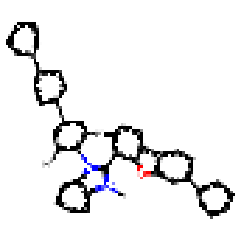 Cc1ccc2c(oc3cc(-c4ccccc4)ccc32)c1-c1n(-c2c(C(C)C)cc(-c3ccc(-c4ccccc4)cc3)cc2C(C)C)c2ccccc2[n+]1C